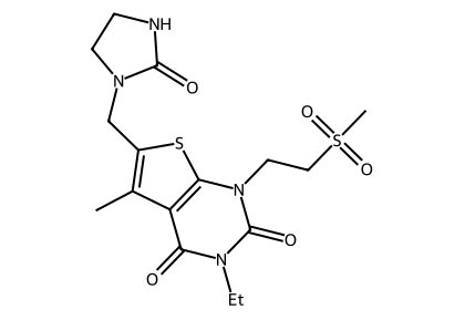 CCn1c(=O)c2c(C)c(CN3CCNC3=O)sc2n(CCS(C)(=O)=O)c1=O